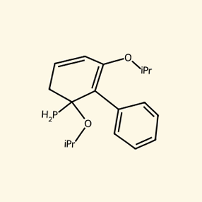 CC(C)OC1=C(c2ccccc2)C(P)(OC(C)C)CC=C1